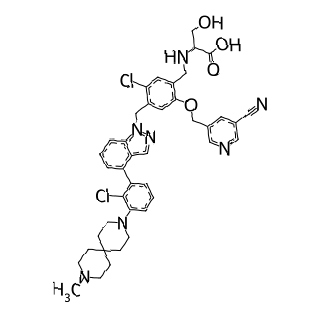 CN1CCC2(CC1)CCN(c1cccc(-c3cccc4c3cnn4Cc3cc(OCc4cncc(C#N)c4)c(CNC(CO)C(=O)O)cc3Cl)c1Cl)CC2